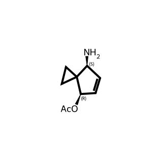 CC(=O)O[C@@H]1C=C[C@H](N)C12CC2